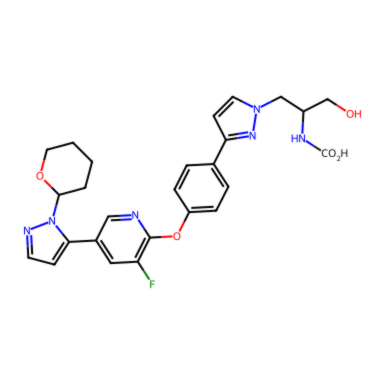 O=C(O)NC(CO)Cn1ccc(-c2ccc(Oc3ncc(-c4ccnn4C4CCCCO4)cc3F)cc2)n1